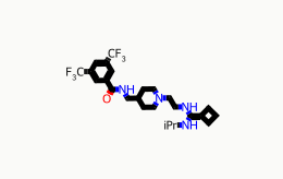 CC(C)NC(NCCN1CCC(CNC(=O)c2cc(C(F)(F)F)cc(C(F)(F)F)c2)CC1)=C1CCC1